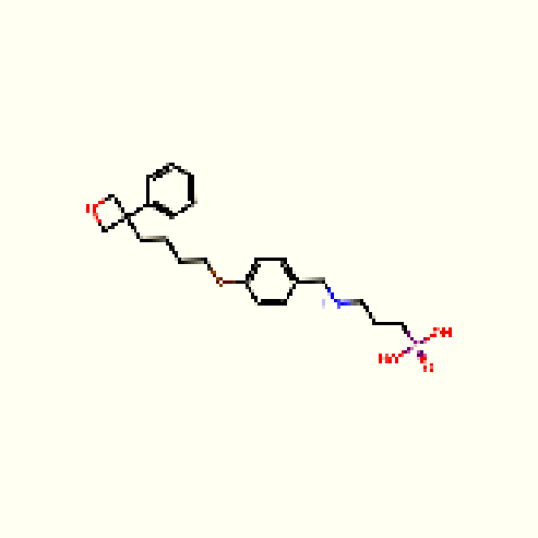 O=P(O)(O)CCCNCc1ccc(SCCCCC2(c3ccccc3)COC2)cc1